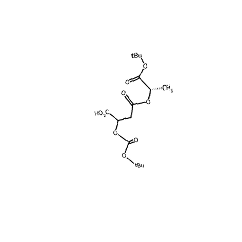 C[C@H](OC(=O)CC(OC(=O)OC(C)(C)C)C(=O)O)C(=O)OC(C)(C)C